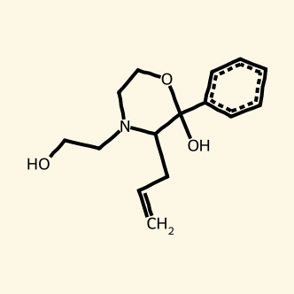 C=CCC1N(CCO)CCOC1(O)c1ccccc1